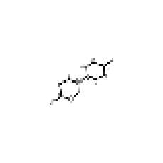 CC1CCC(C2CCC(I)OC2)CC1